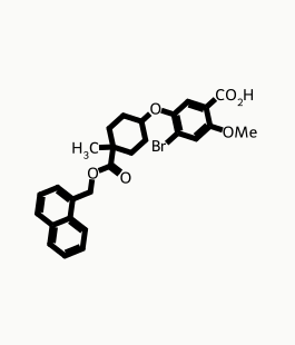 COc1cc(Br)c(OC2CCC(C)(C(=O)OCc3cccc4ccccc34)CC2)cc1C(=O)O